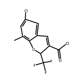 Cc1cc(Cl)cc2c1OC(C(F)(F)F)C(C(=O)Cl)=C2